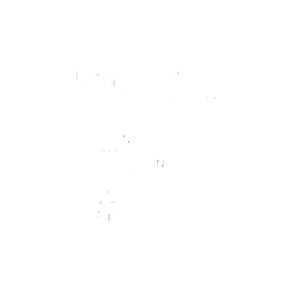 CC(=O)O.O.O.O.O=C1C(=O)c2cccnc2-c2ncccc21.[Ag]